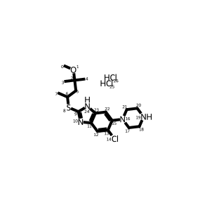 COC(C)(C)CC(C)Sc1nc2cc(Cl)c(N3CCNCC3)cc2[nH]1.Cl.Cl